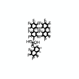 Fc1c(F)c(F)c(-c2c(F)c(F)c(F)c(F)c2F)c(F)c1F.Fc1c(F)c(F)c(-c2c(F)c(F)c(F)c(F)c2F)c(F)c1F.OB(O)Oc1cccc2c(F)c(F)c(F)c(F)c12